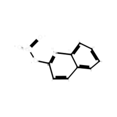 O=[SH](=O)Oc1ccc2ccccc2n1